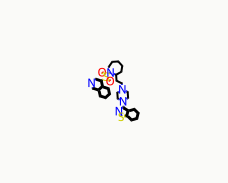 O=S(=O)(c1cncc2ccccc12)N1CCCCCC1CCN1CCN(c2nsc3ccccc23)CC1